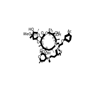 CC[C@H]1OC(=O)[C@H](C)[C@@H](O[C@H]2C[C@@](C)(OC)[C@@H](O)[C@H](C)O2)[C@H](C)[C@@H](O[C@@H]2O[C@H](C)C[C@H](N(C)CCc3cn(CCOc4cccc(C(C)=O)c4)nn3)[C@H]2O)[C@](C)(O)C[C@@H](C)CN(C)[C@H](C)[C@@H](O)[C@]1(C)O